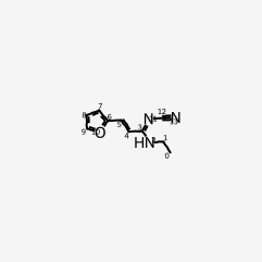 CCNC(C=Cc1ccco1)=NC#N